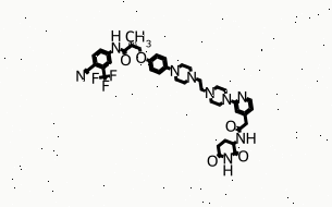 C[C@H](COc1ccc(N2CCN(CCN3CCN(c4cc(CC(=O)NC5CCC(=O)NC5=O)ccn4)CC3)CC2)cc1)C(=O)Nc1ccc(C#N)c(C(F)(F)F)c1